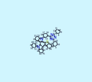 c1ccc(-c2nc(-c3ccccc3)nc(-c3cccc(-n4c5ccccc5c5c4c4sc6ccccc6c4c4c6ccccc6n(-c6ccccc6)c45)c3)n2)cc1